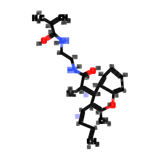 C=C/C=C\C1=C(C)Oc2ccccc2/C1=C(/C#N)C(=O)NCCNC(=O)C(=C)C